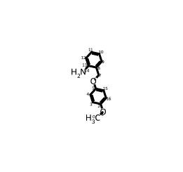 COc1ccc(OCc2ccccc2N)cc1